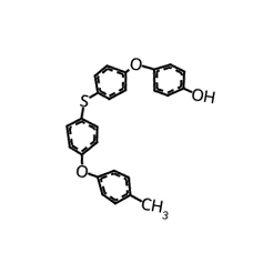 Cc1ccc(Oc2ccc(Sc3ccc(Oc4ccc(O)cc4)cc3)cc2)cc1